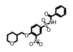 O=C(NS(=O)(=O)c1ccc(OCC2CCCOC2)c([N+](=O)[O-])c1)c1ccccc1